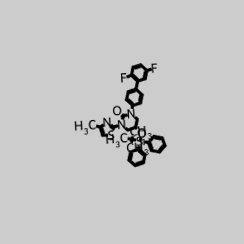 Cc1csc(N2CC(O[Si](c3ccccc3)(c3ccccc3)C(C)(C)C)CN(c3ccc(-c4cc(F)ccc4F)cc3)C2=O)n1